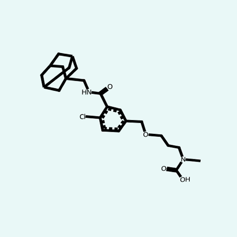 CN(CCCOCc1ccc(Cl)c(C(=O)NCC23CC4CC(CC(C4)C2)C3)c1)C(=O)O